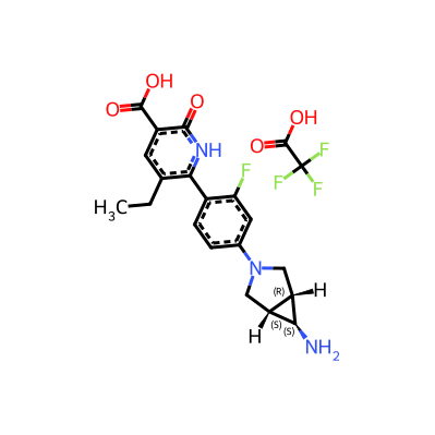 CCc1cc(C(=O)O)c(=O)[nH]c1-c1ccc(N2C[C@@H]3[C@@H](N)[C@@H]3C2)cc1F.O=C(O)C(F)(F)F